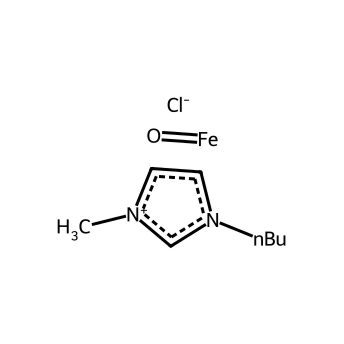 CCCCn1cc[n+](C)c1.[Cl-].[O]=[Fe]